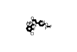 O=c1cc(-c2ccc(OC(F)F)nc2)nc(-c2c(C(F)(F)F)ccc(Cl)c2F)[nH]1